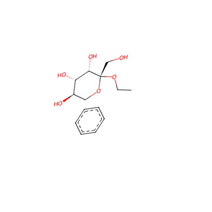 CCO[C@]1(CO)OC[C@@H](O)[C@H](O)[C@@H]1O.c1ccccc1